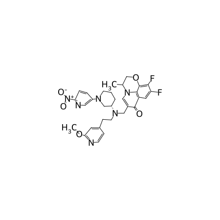 COc1cc(CCN(Cc2cn3c4c(c(F)c(F)cc4c2=O)OCC3C)[C@H]2CCCN(c3ccc([N+](=O)[O-])nc3)C2)ccn1